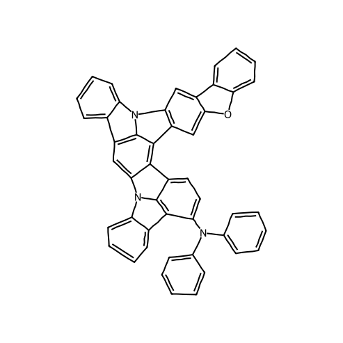 c1ccc(N(c2ccccc2)c2ccc3c4c5c6cc7oc8ccccc8c7cc6n6c7ccccc7c(cc4n4c7ccccc7c2c34)c56)cc1